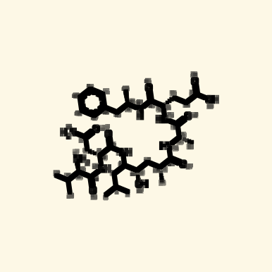 CC(C)CC(NC(=O)[C@@H](CC(N)=O)NC(=O)[C@H](N)C(C)C)[C@@H](O)C[C@@H](C)C(=O)N[C@@H](C)C(=O)N[C@@H](CCC(=O)O)C(=O)N[C@H](C)Cc1ccccc1